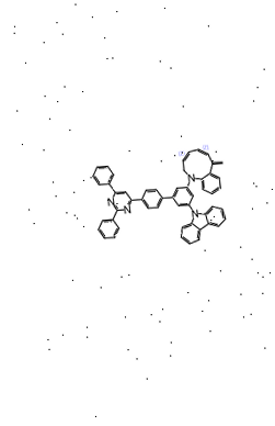 C=C1/C=C\C=C/CN(c2cc(-c3ccc(-c4cc(-c5ccccc5)nc(-c5ccccc5)n4)cc3)cc(-n3c4ccccc4c4ccccc43)c2)c2ccccc21